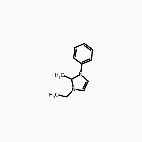 CCN1C=CN(c2ccccc2)C1C